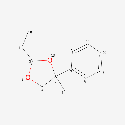 CCC1OCC(C)(c2ccccc2)O1